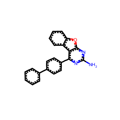 Nc1nc(-c2ccc(-c3ccccc3)cc2)c2c(n1)oc1ccccc12